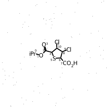 CC(C)OC(=O)C1SC(C(=O)O)C(Cl)C1Cl